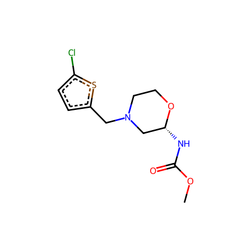 COC(=O)N[C@@H]1CN(Cc2ccc(Cl)s2)CCO1